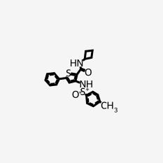 Cc1ccc([S+]([O-])Nc2cc(-c3ccccc3)sc2C(=O)NC2CCC2)cc1